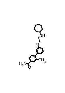 Cc1cc(C(N)=O)ccc1-c1cccc(OCCNC2CCCCCC2)c1